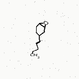 CCCC[CH]C1CCC2OC2C1